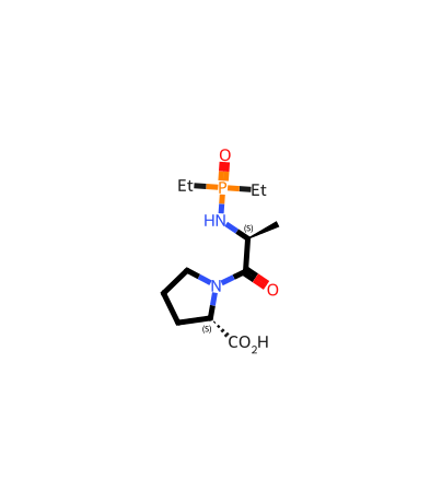 CCP(=O)(CC)N[C@@H](C)C(=O)N1CCC[C@H]1C(=O)O